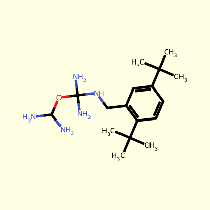 CC(C)(C)c1ccc(C(C)(C)C)c(CNC(N)(N)OC(N)N)c1